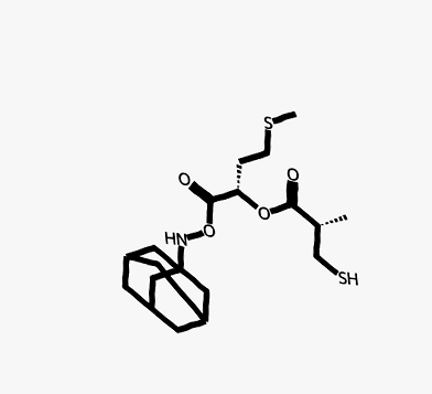 CSCC[C@H](OC(=O)[C@H](C)CS)C(=O)ONC12CC3CC(CC(C3)C1)C2